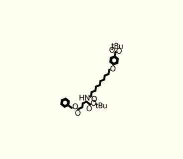 CC(C)(C)OC(=O)c1ccc(OCCCCCCCCCC(=O)NC(CCC(=O)OCc2ccccc2)C(=O)OC(C)(C)C)cc1